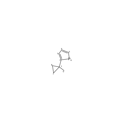 CC1(C2=CC=C[P]2)CC1